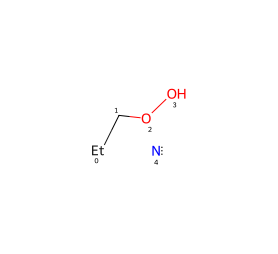 CCCOO.[N]